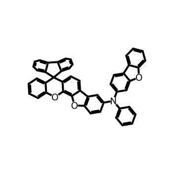 c1ccc(N(c2ccc3c(c2)oc2ccccc23)c2ccc3oc4c5c(ccc4c3c2)C2(c3ccccc3O5)c3ccccc3-c3ccccc32)cc1